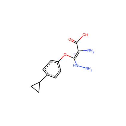 NN/C(Oc1ccc(C2CC2)cc1)=C(\N)C(=O)O